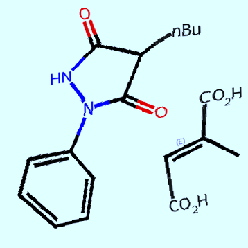 C/C(=C\C(=O)O)C(=O)O.CCCCC1C(=O)NN(c2ccccc2)C1=O